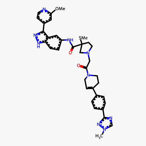 COc1cc(-c2n[nH]c3ccc(NC(=O)C4(SC)CCN(CC(=O)N5CC=C(c6ccc(-c7ncn(C)n7)cc6)CC5)C4)cc23)ccn1